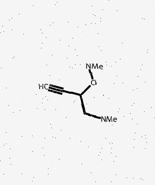 C#CC(CNC)ONC